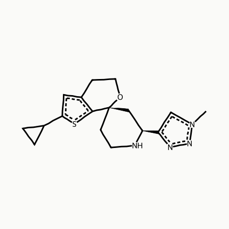 Cn1cc([C@@H]2C[C@]3(CCN2)OCCc2cc(C4CC4)sc23)nn1